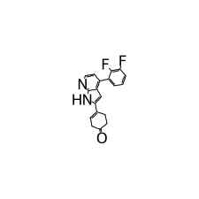 O=C1CC=C(c2cc3c(-c4cccc(F)c4F)ccnc3[nH]2)CC1